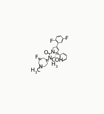 CN1CC[C@@H](N(C)C(=O)N2CC(c3cc(F)ccc3F)=C[C@@]2(CO)c2ccccc2)C[C@H](F)C1